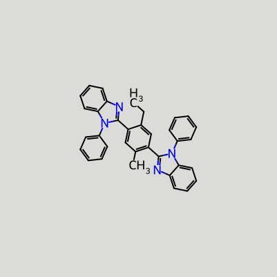 CCc1cc(-c2nc3ccccc3n2-c2ccccc2)c(C)cc1-c1nc2ccccc2n1-c1ccccc1